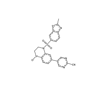 Cc1nc2ccc(S(=O)(=O)N3CC[S+]([O-])c4ccc(-c5cnc(C#N)nc5)cc43)cc2s1